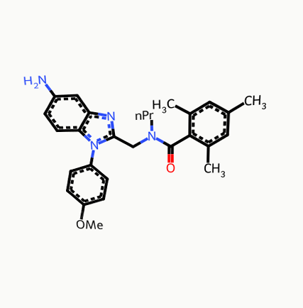 CCCN(Cc1nc2cc(N)ccc2n1-c1ccc(OC)cc1)C(=O)c1c(C)cc(C)cc1C